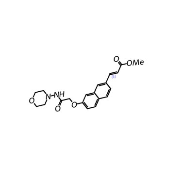 COC(=O)/C=C/c1ccc2ccc(OCC(=O)NN3CCOCC3)cc2c1